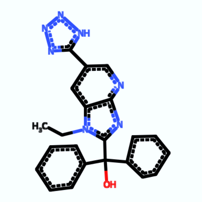 CCn1c(C(O)(c2ccccc2)c2ccccc2)nc2ncc(-c3nnn[nH]3)cc21